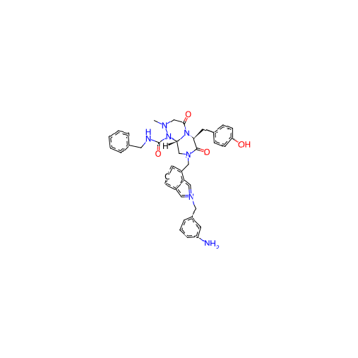 CN1CC(=O)N2[C@@H](Cc3ccc(O)cc3)C(=O)N(Cc3cccc4cn(Cc5cccc(N)c5)cc34)C[C@@H]2N1C(=O)NCc1ccccc1